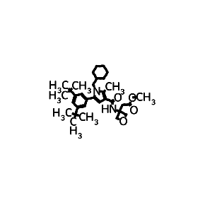 COC(=O)CC1(NC(=O)c2cc(-c3cc(C(C)(C)C)cc(C(C)(C)C)c3)n(CC3CCCCC3)c2C)COC1